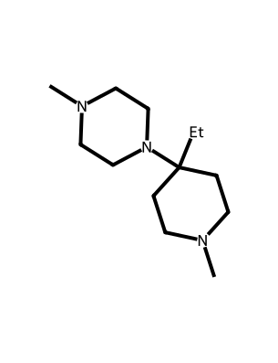 CCC1(N2CCN(C)CC2)CCN(C)CC1